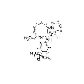 C=CC1/C=C\C=C/C/C(N2CCOCC2)=C(C)\C(Nc2ccc(P(C)(C)=O)cc2)=N/1